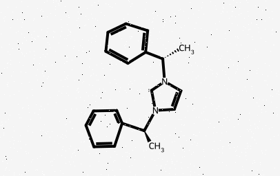 C[C@@H](c1ccccc1)N1[C]N([C@@H](C)c2ccccc2)C=C1